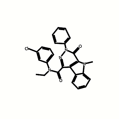 CCN(C(=O)c1nn(-c2ccccc2)c(=O)c2c1c1ccccc1n2C)c1cccc(Cl)c1